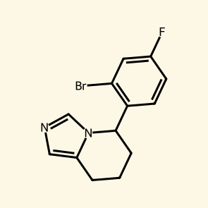 Fc1ccc(C2CCCc3cncn32)c(Br)c1